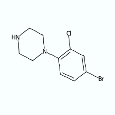 Clc1cc(Br)ccc1N1CCNCC1